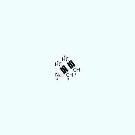 C#C.C#C.[Na]